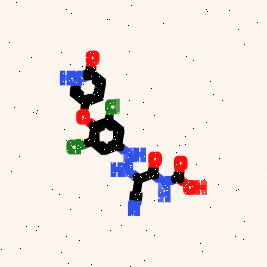 N#CC(NNc1cc(Cl)c(Oc2ccc(=O)[nH]c2)c(Cl)c1)C(=O)NC(=O)O